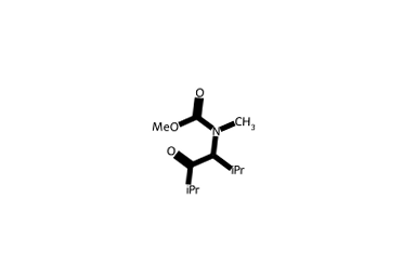 COC(=O)N(C)C(C(=O)C(C)C)C(C)C